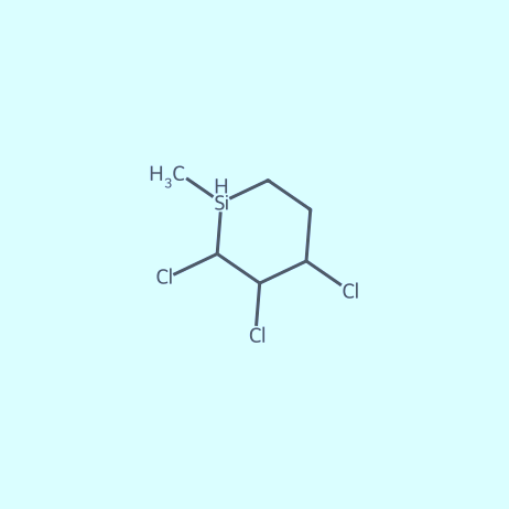 C[SiH]1CCC(Cl)C(Cl)C1Cl